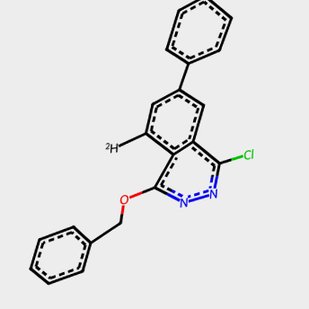 [2H]c1cc(-c2ccccc2)cc2c(Cl)nnc(OCc3ccccc3)c12